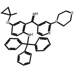 CC1(Oc2ccc(NC(c3ccccc3)(c3ccccc3)c3ccccc3)c(C(=N)c3ccnc(N4CCOCC4)c3)c2)CC1